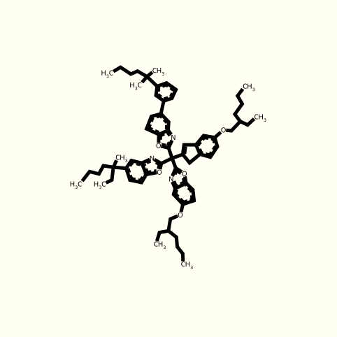 CCCCC(CC)COc1ccc2c(c1)C=C(C(c1nc3cc(OCC(CC)CCCC)ccc3o1)(c1nc3cc(-c4cccc(C(C)(C)CCCC)c4)ccc3o1)c1nc3cc(C(C)(CC)CCCC)ccc3o1)C2